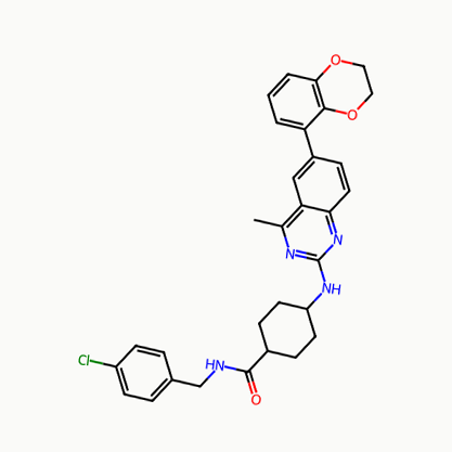 Cc1nc(NC2CCC(C(=O)NCc3ccc(Cl)cc3)CC2)nc2ccc(-c3cccc4c3OCCO4)cc12